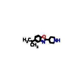 CC(C)c1ccc2oc(C3CCNCC3)nc2c1